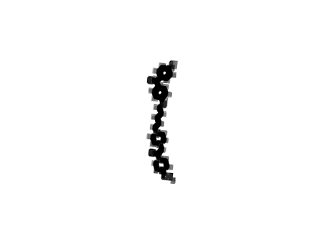 CN1CCN(C(=O)CN2CCN(CCCCCOc3ccc(C(=O)c4ccc(Cl)cc4)cc3)CC2)CC1